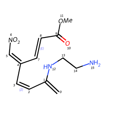 C=C(/C=C\C(=C[N+](=O)[O-])/C=C/C(=O)OC)NCCN